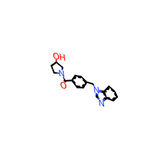 O=C(c1ccc(Cn2cnc3ccccc32)cc1)N1CC[C@@H](O)C1